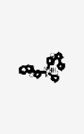 N/C(=N\C(=N/Cc1ccccc1)c1ccc2oc3c4c(ccc3c2c1)CCC=C4)c1ccc2oc3cccc(-c4ccccc4)c3c2c1